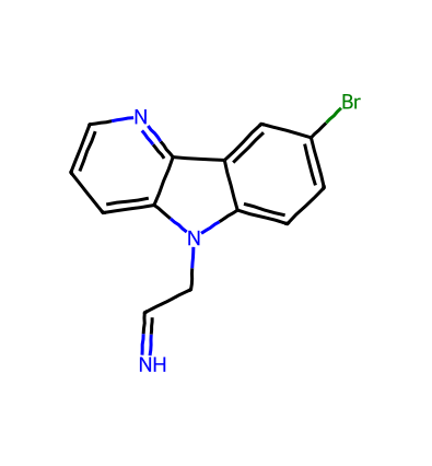 N=CCn1c2ccc(Br)cc2c2ncccc21